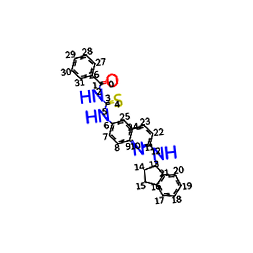 O=C(NC(=S)Nc1ccc2nc(N[C@@H]3CCc4ccccc43)ccc2c1)c1ccccc1